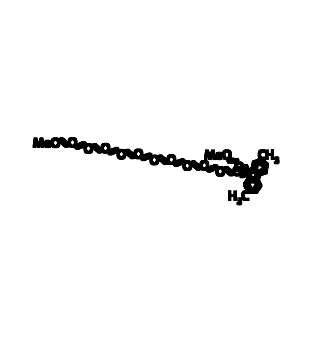 COCCOCCOCCOCCOCCOCCOCCOCCOCCOCCOCCOCC1(COCCOC)c2cc(C)ccc2-c2ccc(C)cc21